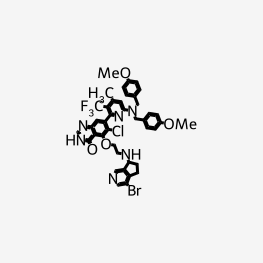 COc1ccc(CN(Cc2ccc(OC)cc2)c2cc(C)c(C(F)(F)F)c(-c3cc4nc[nH]c(=O)c4c(OCCNC4CCc5c(Br)cncc54)c3Cl)n2)cc1